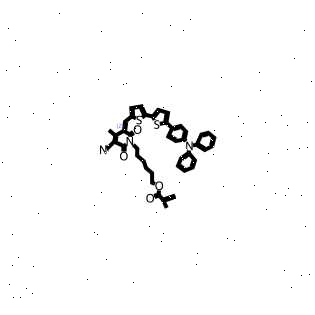 C=C(C)C(=O)OCCCCCCN1C(=O)C(C#N)=C(C)/C(=C/c2ccc(-c3ccc(-c4ccc(N(c5ccccc5)c5ccccc5)cc4)s3)s2)C1=O